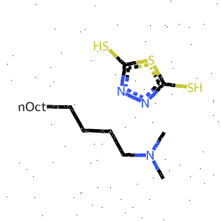 CCCCCCCCCCCCN(C)C.Sc1nnc(S)s1